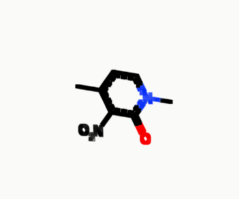 Cc1ccn(C)c(=O)c1[N+](=O)[O-]